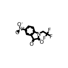 O=C1C(=O)N(CC(F)(F)F)c2ccc([N+](=O)[O-])cc21